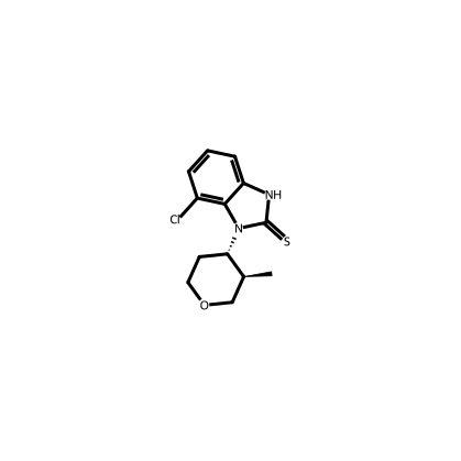 C[C@H]1COCC[C@@H]1n1c(=S)[nH]c2cccc(Cl)c21